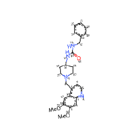 COc1cc2nccc(CN3CCC(NC(=O)NCc4ccccc4)CC3)c2cc1OC